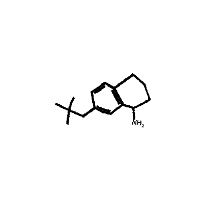 CC(C)(C)Cc1ccc2c(c1)C(N)CCC2